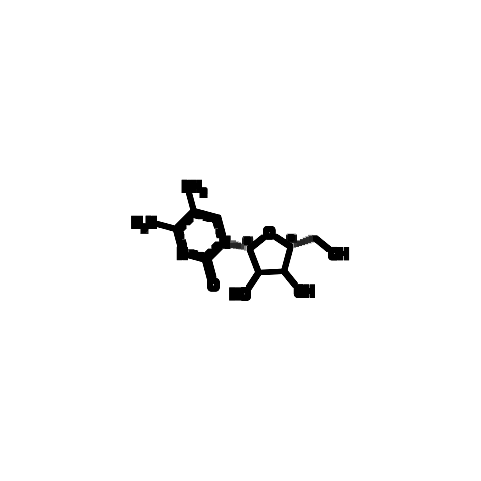 Nc1cn([C@@H]2O[C@H](CO)C(O)C2O)c(=O)nc1N